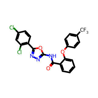 O=C(Nc1nnc(-c2ccc(Cl)cc2Cl)o1)c1ccccc1Oc1ccc(C(F)(F)F)cc1